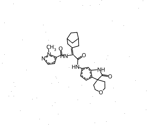 Cn1nccc1C(=O)NC(C(=O)Nc1ccc2c(c1)NC(=O)C21CCOCC1)=C1CC2CCC(C1)C2